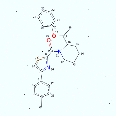 Cc1ccc(-c2csc(C(=O)N3CCCCC3C(C)Oc3ccccc3)n2)cc1